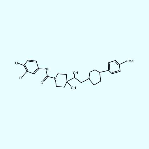 COc1ccc(C2CCN(CC(O)C3(O)CCN(C(=O)Nc4ccc(Cl)c(Cl)c4)CC3)CC2)cc1